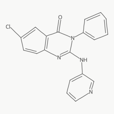 O=c1c2cc(Cl)ccc2nc(Nc2cccnc2)n1-c1ccccc1